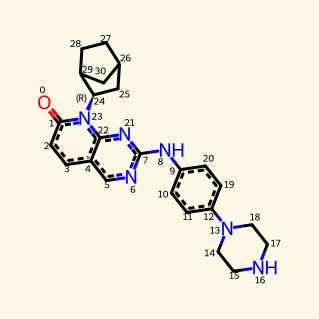 O=c1ccc2cnc(Nc3ccc(N4CCNCC4)cc3)nc2n1[C@@H]1CC2CCC1C2